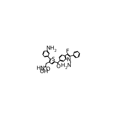 NCn1c(-c2ccccc2)c(F)c2ccc(C(=O)c3cc(CC(=O)NO)c(-c4cccc(N)c4)s3)cc21